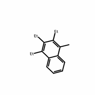 CCc1c(CC)c(CC)c2ccccc2c1C